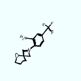 Nc1cc(C(F)(F)F)ccc1N1CC2(CCCO2)C1